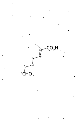 CC(=CCCCC=O)C(=O)O